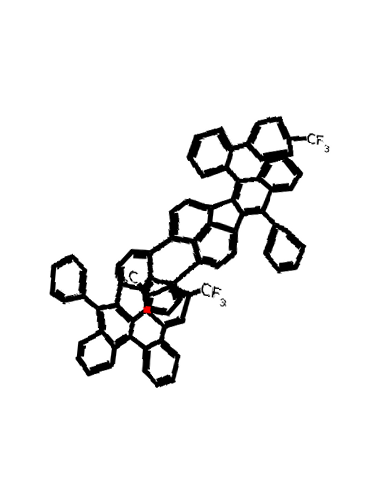 FC(F)(F)c1ccc(-c2ccccc2-c2c3c(c(-c4ccccc4)c4ccccc24)-c2ccc4c5ccc6c7c(ccc(c8ccc-3c2c84)c75)-c2c-6c(-c3ccccc3-c3cc(C(F)(F)F)cc(C(F)(F)F)c3)c3ccccc3c2-c2ccccc2)cc1